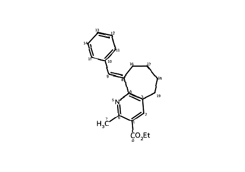 CCOC(=O)c1cc2c(nc1C)C(=Cc1ccccc1)CCCC2